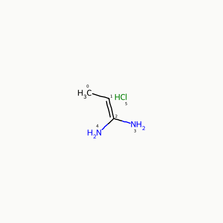 CC=C(N)N.Cl